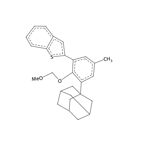 COCOc1c(-c2cc3ccccc3s2)cc(C)cc1C12CC3CC(CC(C3)C1)C2